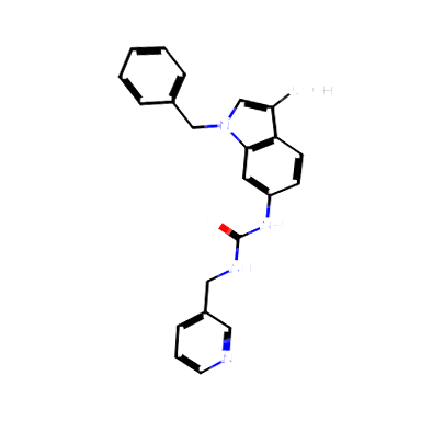 O=C(NCc1cccnc1)Nc1ccc2c(C(=O)O)cn(Cc3ccccc3)c2c1